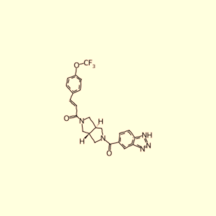 O=C(C=Cc1ccc(OC(F)(F)F)cc1)N1C[C@H]2CN(C(=O)c3ccc4[nH]nnc4c3)C[C@@H]2C1